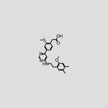 COc1cc(C)c(C)cc1CCNc1cc(-c2ccc(CC(=O)O)c(SC)c2)ncn1